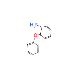 NC1C=CC=C[C]1Oc1ccccc1